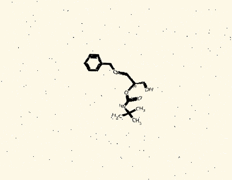 CC(C)(C)NC(=O)O[C@H](CO)COCc1ccccc1